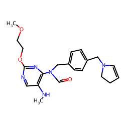 CNc1cnc(OCCOC)nc1N(C=O)Cc1ccc(CN2C=CCC2)cc1